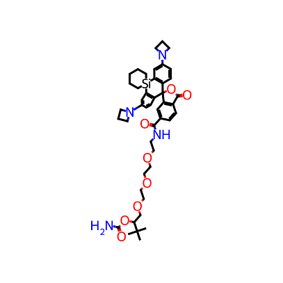 CC(C)(C)C(COCCOCCOCCNC(=O)c1ccc2c(c1)C1(OC2=O)c2ccc(N3CCC3)cc2[Si]2(CCCCC2)c2cc(N3CCC3)ccc21)OC(N)=O